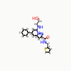 O=C(NCc1cccs1)c1cc2cc(-c3ccccc3)cc(NCCO)n2n1